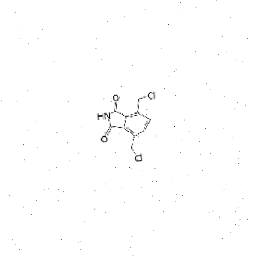 O=C1NC(=O)c2c(CCl)ccc(CCl)c21